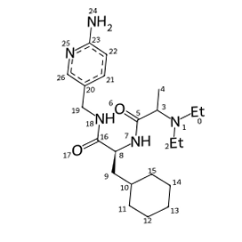 CCN(CC)C(C)C(=O)N[C@@H](CC1CCCCC1)C(=O)NCc1ccc(N)nc1